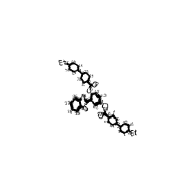 CCC1CCC(C2CCC(C(=O)Oc3ccc(OC(=O)C4CCC(C5CCC(CC)CC5)CC4)c(-c4nc5ccccc5s4)c3)CC2)CC1